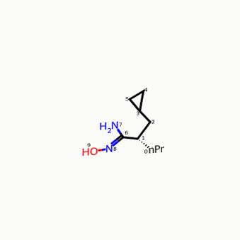 CCC[C@@H](CC1CC1)/C(N)=N/O